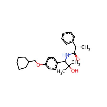 C[C@H](C(=O)N[C@H](c1ccc(OCC2CCCCC2)cc1)C(C)(C)O)c1ccccc1